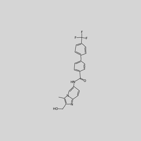 Cc1c(CO)nc2ccc(NC(=O)c3ccc(-c4ccc(C(F)(F)F)cc4)cc3)cn12